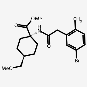 COC[C@H]1CC[C@@](NC(=O)Cc2cc(Br)ccc2C)(C(=O)OC)CC1